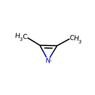 CC1=C(C)[N]1